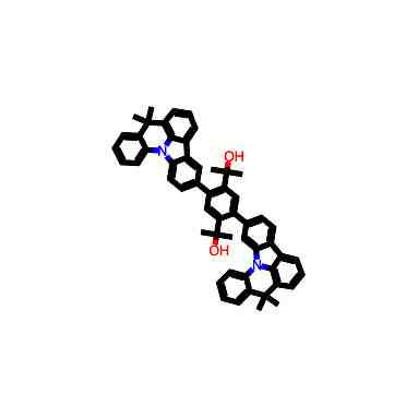 CC(C)(O)c1cc(-c2ccc3c4cccc5c4n(c3c2)-c2ccccc2C5(C)C)c(C(C)(C)O)cc1-c1ccc2c(c1)c1cccc3c1n2-c1ccccc1C3(C)C